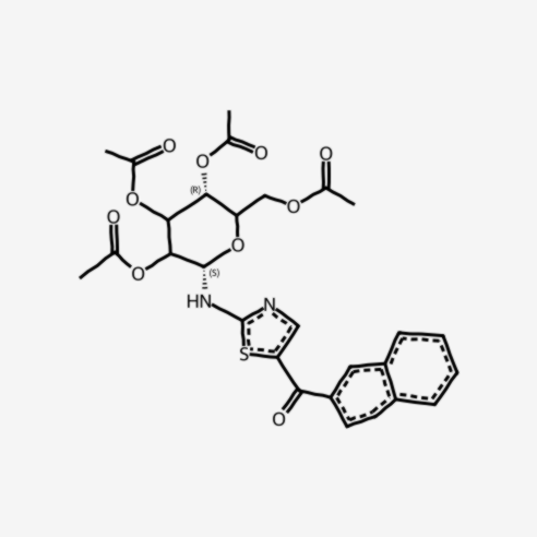 CC(=O)OCC1O[C@H](Nc2ncc(C(=O)c3ccc4ccccc4c3)s2)C(OC(C)=O)C(OC(C)=O)[C@@H]1OC(C)=O